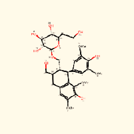 COc1cc([C@H]2c3c(cc(OC)c(O)c3OC)C[C@@H](CO)[C@@H]2CO[C@@H]2O[C@H](CCO)[C@@H](O)[C@H](O)[C@H]2O)cc(OC)c1O